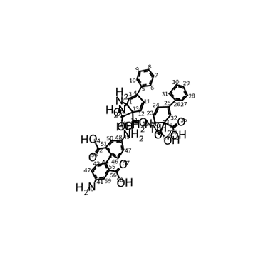 NC1(N)C=C(c2ccccc2)C=CC1(C(=O)O)C(=O)O.NC1(N)C=CC(c2ccccc2)=CC1(C(=O)O)C(=O)O.Nc1ccc(-c2ccc(N)cc2C(=O)O)c(C(=O)O)c1